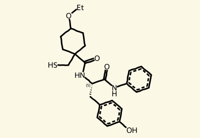 CCOC1CCC(CS)(C(=O)N[C@@H](Cc2ccc(O)cc2)C(=O)Nc2ccccc2)CC1